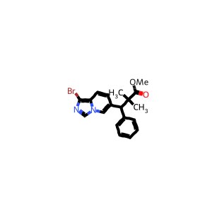 COC(=O)C(C)(C)C(c1ccccc1)c1ccc2c(Br)ncn2c1